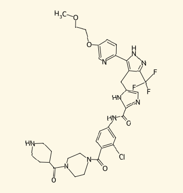 COCCOc1ccc(-c2[nH]nc(C(F)(F)F)c2Cc2cnc(C(=O)Nc3ccc(C(=O)N4CCN(C(=O)C5CCNCC5)CC4)c(Cl)c3)[nH]2)nc1